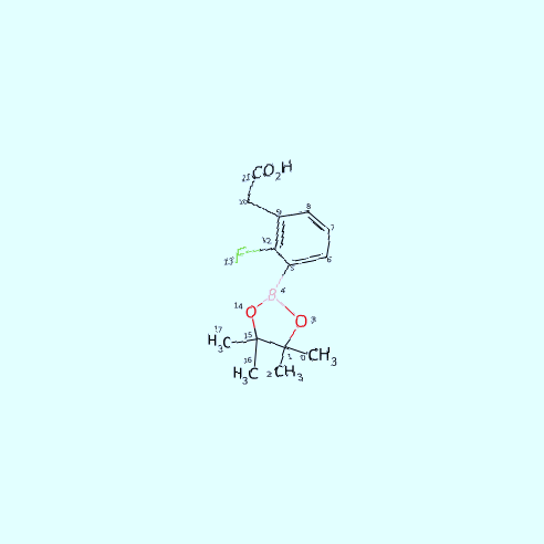 CC1(C)OB(c2cccc(CC(=O)O)c2F)OC1(C)C